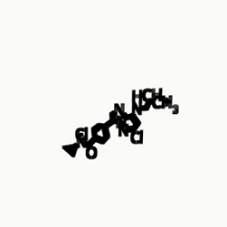 CC(C)CNc1cc(Cl)nn2c(-c3ccc(C(=O)N(Cl)C4CC4)cc3)cnc12